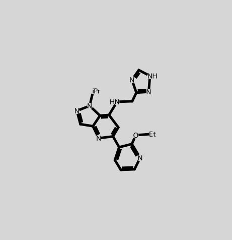 CCOc1ncccc1-c1cc(NCc2nc[nH]n2)c2c(cnn2C(C)C)n1